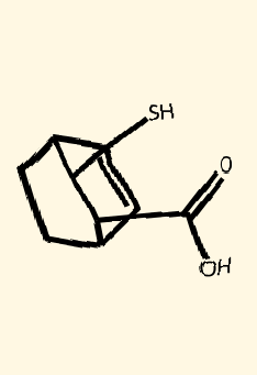 O=C(O)C1C2C=CC(CC2)C1S